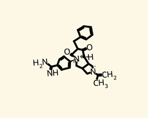 C=C(C)N1[CH]C2C(C1)C[N@+]1(c3ccc(C(=N)N)cc3)C(=O)C(Cc3ccccc3)C(=O)[C@@H]21